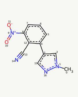 Cn1cc(-c2cccc([N+](=O)[O-])c2C#N)cn1